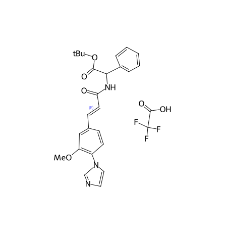 COc1cc(/C=C/C(=O)NC(C(=O)OC(C)(C)C)c2ccccc2)ccc1-n1ccnc1.O=C(O)C(F)(F)F